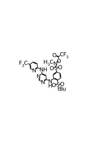 CN(OC(=O)C(F)(F)F)S(=O)(=O)c1ccc(S(=O)(=O)C(C)(C)C)c(Nc2cc(Nc3ccc(C(F)(F)F)cn3)ncn2)c1